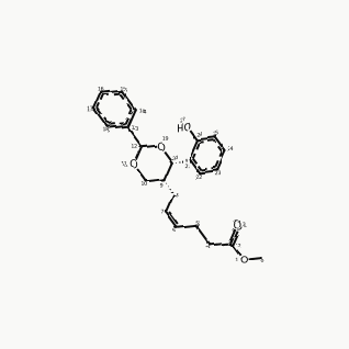 COC(=O)CC/C=C\C[C@@H]1COC(c2ccccc2)O[C@@H]1c1ccccc1O